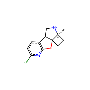 Clc1ccc2c(n1)OC13CC[C@@H]1NCC23